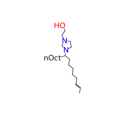 CC=CCCCCCC(CCCCCCCC)N1CCN(CCO)C1